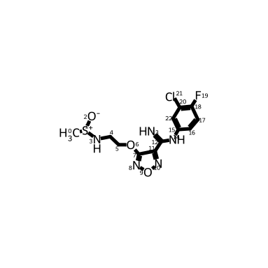 C[S+]([O-])NCCOc1nonc1C(=N)Nc1ccc(F)c(Cl)c1